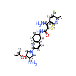 Cc1nc2sc(C(=O)NC3CCc4nc(N5CC(N)C(OC(C)C)C5)ccc4C3)c(N)c2cc1F